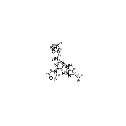 C=C(C)/C=C(/CNc1nc(Nc2cc(C3CC3)n[nH]2)cc(N2CCOCC2)n1)ON